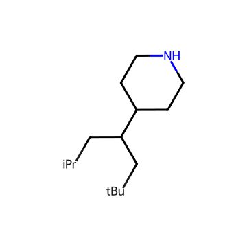 CC(C)CC(CC(C)(C)C)C1CCNCC1